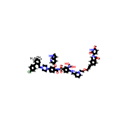 CC1(C)CCC(CN2CCN(c3ccc(C(=O)NS(=O)(=O)c4ccc(NCC5CCCN(CCOCC#Cc6ccc7c(c6)CN(C6CCC(=O)NC6=O)C7=O)C5)c(N(O)O)c4)c(Oc4cnc5[nH]ccc5c4)c3)CC2)=C(c2ccc(Cl)cc2)C1